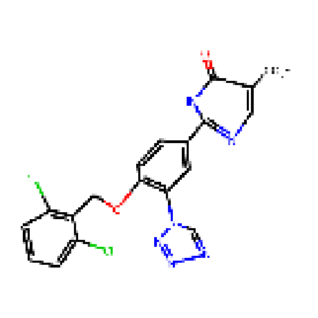 CCOC(=O)c1cnc(-c2ccc(OCc3c(Cl)cccc3Cl)c(-n3cnnn3)c2)[nH]c1=O